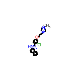 CN1CCN(CCCOc2ccc(-c3nc4c(ccc5ccccc54)[nH]3)c(Cl)c2)CC1